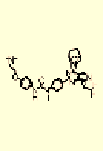 CN(C)CCOc1ccc(NC(=O)Nc2ccc(-c3nc(N4CC5CCC(C4)O5)c4cnn(CC(F)F)c4n3)cc2)cc1